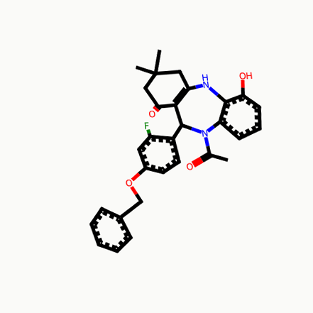 CC(=O)N1c2cccc(O)c2NC2=C(C(=O)CC(C)(C)C2)C1c1ccc(OCc2ccccc2)cc1F